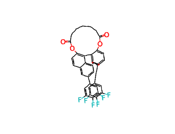 O=C1CCCCCC(=O)Oc2ccc3cc(-c4cc(F)c(F)c(F)c4)ccc3c2-c2c(ccc3cc(-c4cc(F)c(F)c(F)c4)ccc23)O1